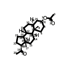 CC(=O)O[C@H]1CC[C@@]2(C)[C@@H](CC[C@@H]3[C@@H]2CC[C@]2(C)[C@@H](C(C)=O)CC[C@@H]32)C1